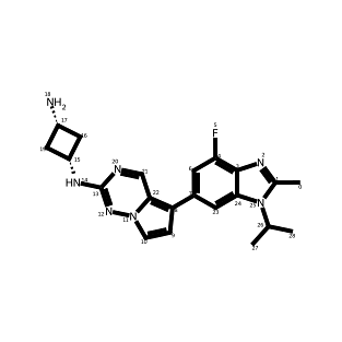 Cc1nc2c(F)cc(-c3ccn4nc(N[C@H]5C[C@@H](N)C5)ncc34)cc2n1C(C)C